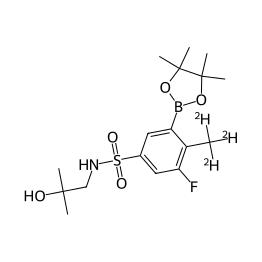 [2H]C([2H])([2H])c1c(F)cc(S(=O)(=O)NCC(C)(C)O)cc1B1OC(C)(C)C(C)(C)O1